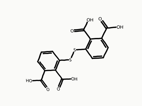 O=C(O)c1cccc(SSc2cccc(C(=O)O)c2C(=O)O)c1C(=O)O